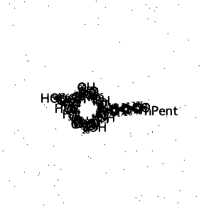 CCCCCOc1ccc(-c2ccc(-c3ccc(C(=O)N[C@H]4C[C@@H](O)NC(=O)[C@@H]5[C@@H](O)[C@@H](C)CN5C(=O)[C@H]([C@@H](C)O)NC(=O)[C@H]([C@H](O)[C@@H](O)c5ccc(O)cc5)NC(=O)[C@@H]5C[C@@H](O)CN5C(=O)[C@H]([C@@H](C)O)NC4=O)cc3)cc2)cc1